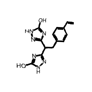 C=Cc1ccc(CC(c2n[nH]c(O)n2)c2n[nH]c(O)n2)cc1